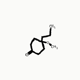 CCCC1(OC)CCC(=O)CC1